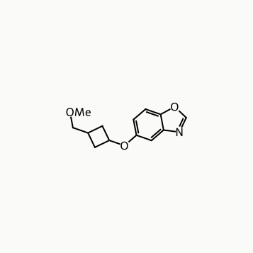 COCC1CC(Oc2ccc3ocnc3c2)C1